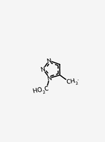 [CH2]c1cnnn1C(=O)O